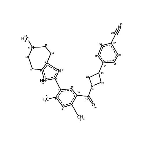 Cc1cc(C)c(-c2nc3c([nH]2)CCN(C)CC3)cc1C(=O)N1CC(c2ccc(C#N)cc2)C1